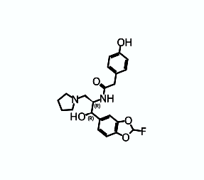 O=C(Cc1ccc(O)cc1)N[C@H](CN1CCCC1)[C@H](O)c1ccc2c(c1)OC(F)O2